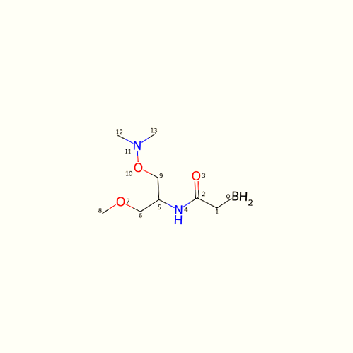 BCC(=O)NC(COC)CON(C)C